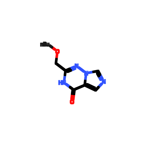 CCCCOCc1nn2cncc2c(=O)[nH]1